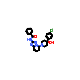 O=C(Nc1nc2cccc(N3CCC(O)(c4ccc(Cl)cc4)CC3)n2n1)c1ccccc1